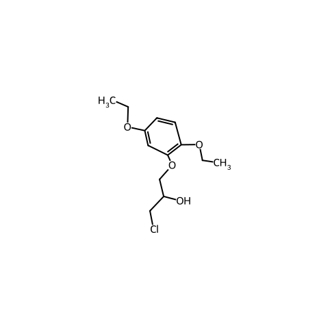 CCOc1ccc(OCC)c(OCC(O)CCl)c1